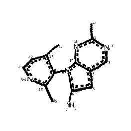 Cc1ncc2cc(N)n(-c3c(C)ccnc3C)c2n1